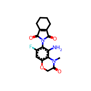 CN1C(=O)COc2cc(F)c(N3C(=O)C4=C(CCCC4)C3=O)c(N)c21